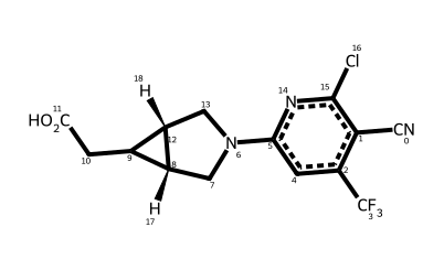 N#Cc1c(C(F)(F)F)cc(N2C[C@@H]3C(CC(=O)O)[C@@H]3C2)nc1Cl